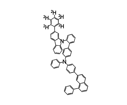 [2H]c1c([2H])c([2H])c(-c2ccc3c4ccccc4n(-c4ccccc4-c4ccc(N(c5ccccc5)c5ccc(-c6ccc7cccc(-c8ccccc8)c7c6)cc5)cc4)c3c2)c([2H])c1[2H]